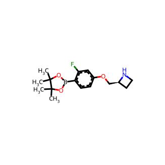 CC1(C)OB(c2ccc(OC[C@@H]3CCN3)cc2F)OC1(C)C